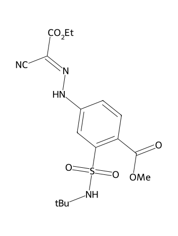 CCOC(=O)C(C#N)=NNc1ccc(C(=O)OC)c(S(=O)(=O)NC(C)(C)C)c1